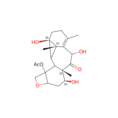 CC(=O)OC12COC1C[C@H](O)[C@@]1(C)C(=O)C(O)C3=C(C)CC[C@@]4(O)C(C21)[C@@]34C